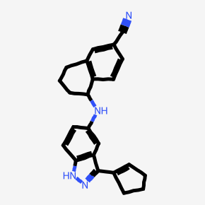 N#Cc1ccc2c(c1)CCCC2Nc1ccc2[nH]nc(C3=CCCC3)c2c1